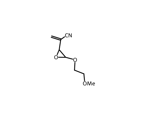 C=C(C#N)C1OC1OCCOC